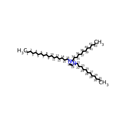 CCCCCCCCCCCCCCCCCN1C=CN(CCCCCCCCCCCC)C1CCCCCCCCCCC